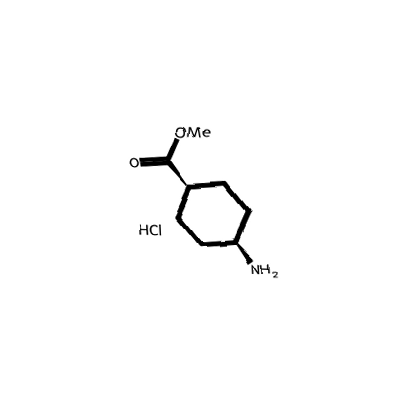 COC(=O)[C@H]1CC[C@@H](N)CC1.Cl